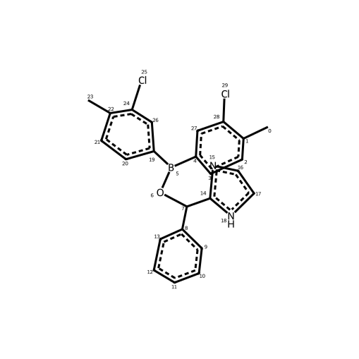 Cc1ccc(B(OC(c2ccccc2)c2ncc[nH]2)c2ccc(C)c(Cl)c2)cc1Cl